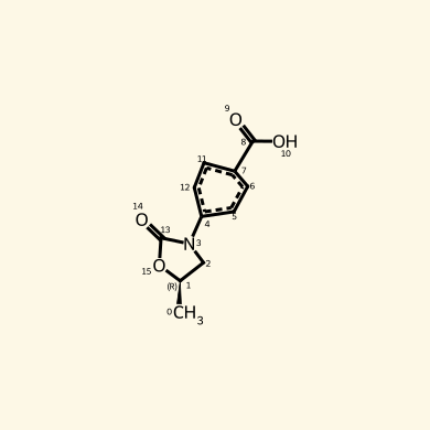 C[C@@H]1CN(c2ccc(C(=O)O)cc2)C(=O)O1